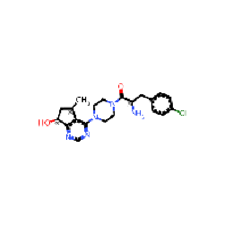 C[C@@H]1C[C@H](O)c2ncnc(N3CCN(C(=O)[C@H](N)Cc4ccc(Cl)cc4)CC3)c21